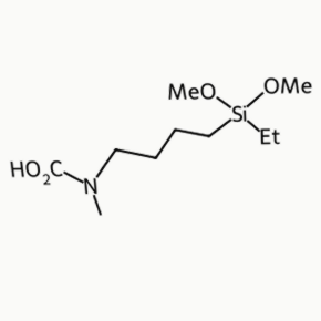 CC[Si](CCCCN(C)C(=O)O)(OC)OC